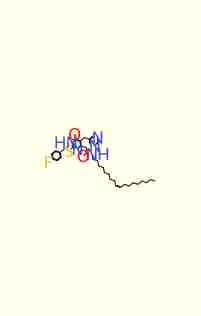 CCCCCCCC/C=C\CCCCCCCCNC(=O)Cc1nc(SCc2ccc(F)cc2)[nH]c(=O)c1Cc1cncnc1